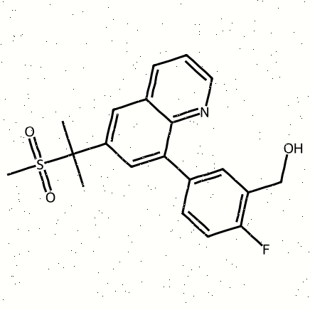 CC(C)(c1cc(-c2ccc(F)c(CO)c2)c2ncccc2c1)S(C)(=O)=O